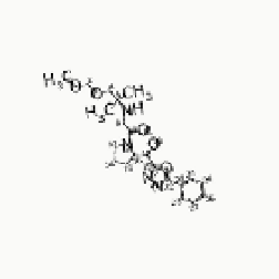 COCOCC(C)(C)NCC(=O)N1CCCC1C(=O)c1nnc(-c2ccccc2)o1